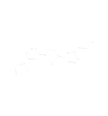 C[C@@H]1CN(c2ncnc(-c3ccccc3)n2)C[C@H](C)N1c1ccnc(CCO)n1